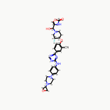 N#Cc1cc(-c2ncnc(Nc3ccc(N4CCN(C5COC5)CC4)cc3)n2)ccc1O[C@H]1CCN(C(O)c2coc(=O)[nH]2)C[C@H]1F